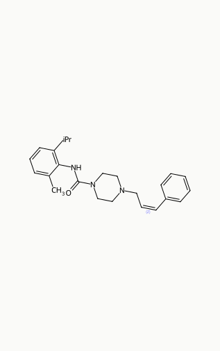 Cc1cccc(C(C)C)c1NC(=O)N1CCN(C/C=C\c2ccccc2)CC1